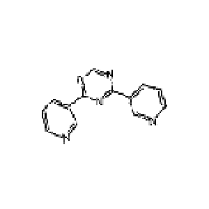 c1cncc(-c2ncnc(-c3cccnc3)n2)c1